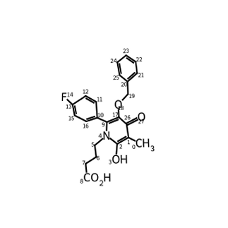 Cc1c(O)n(CCCC(=O)O)c(-c2ccc(F)cc2)c(OCc2ccccc2)c1=O